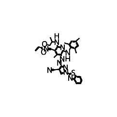 C=CC(=O)OCC(C)Nc1nc(Nc2c(C)cc(C)cc2C)c(N=Nc2nn(-c3nc4ccccc4s3)cc2C#N)c(C)c1C#N